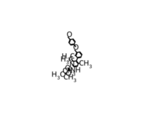 Cc1cc(NC(=O)OC(C)(C)C)nc(C)c1-c1cccc(COc2ccc(C=O)cc2)c1C